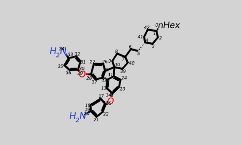 CCCCCC[C@H]1CC[C@H](CCC2CCC(c3ccc(Oc4ccc(N)cc4)cc3)(c3ccc(Oc4ccc(N)cc4)cc3)CC2)CC1